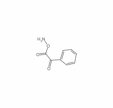 NOC(=O)C(=O)c1ccccc1